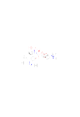 CCN(CC)c1ccc2cc(C3=CC4(c5ccc(N(C)C)cc5O3)c3cc(C(C)=O)ccc3C(O)N4C(=O)OCc3ccccc3)c(=O)oc2c1